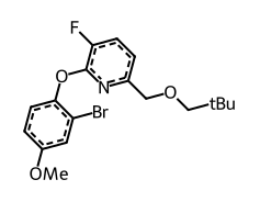 COc1ccc(Oc2nc(COCC(C)(C)C)ccc2F)c(Br)c1